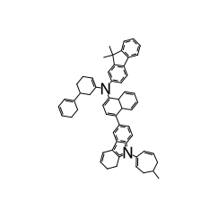 CC1CC=CC(n2c3c(c4cc(C5=CC=C(N(C6=CCCC(C7=CC=CCC7)C6)c6ccc7c(c6)C(C)(C)c6ccccc6-7)C6C=CC=CC56)ccc42)C=CCC3)=CC1